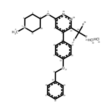 CN1CCC(Oc2cc(-c3ccc(OCc4ccccc4)cc3)c(C(F)(F)F)nn2)CC1.Cl.Cl